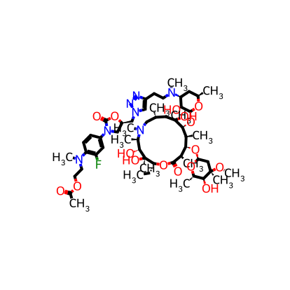 CC[C@H]1OC(=O)[C@H](C)[C@@H](O[C@H]2C[C@@](C)(OC)[C@@H](O)[C@H](C)O2)[C@H](C)[C@@H](O[C@@H]2O[C@H](C)C[C@H](N(C)CCc3cn(C[C@H]4CN(c5ccc(N(C)CCOC(C)=O)c(F)c5)C(=O)O4)nn3)[C@H]2O)[C@](C)(O)C[C@@H](C)CN(C)[C@H](C)[C@@H](O)[C@]1(C)O